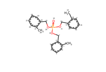 Cc1ccccc1COP(=O)(OCc1ccccc1C)OCc1ccccc1C